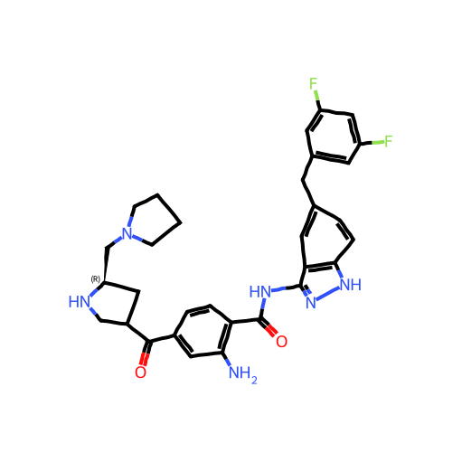 Nc1cc(C(=O)C2CN[C@@H](CN3CCCC3)C2)ccc1C(=O)Nc1n[nH]c2ccc(Cc3cc(F)cc(F)c3)cc12